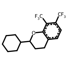 FC(F)(F)c1ccc2c(c1C(F)(F)F)OC(C1CCCCC1)CC2